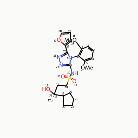 COc1cccc(OC)c1-n1c(NS(=O)(=O)CC[C@](C)(O)C2CCCC2)nnc1-c1ccco1